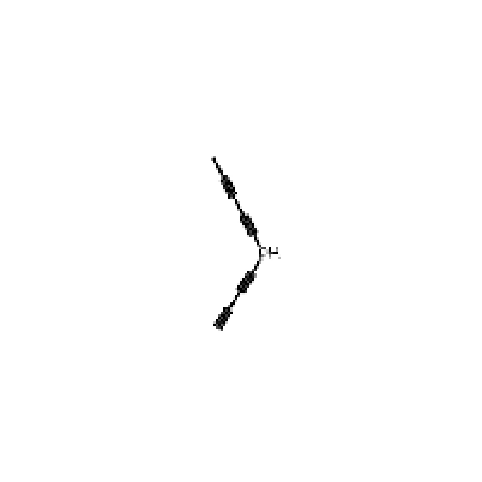 C#CC#CPC#CC#CC